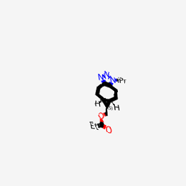 CCC(=O)OC[C@@H]1[C@@H]2CCc3c(nnn3C(C)C)CC[C@@H]21